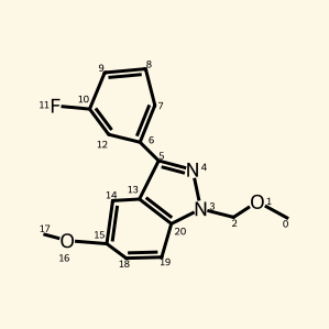 COCn1nc(-c2cccc(F)c2)c2cc(OC)ccc21